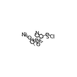 Cc1ccc(OC[C@@H]2CCN2C)cc1C(=O)NC1(c2cc(-c3ccc(Cl)s3)cc3ncccc23)CC1